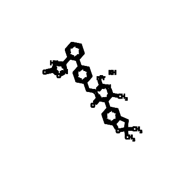 CCCc1nc(C)c(-c2ccc3c(c2)CC(C)(C)O3)c(=O)n1Cc1ccc(-c2ccccc2-c2noc(=O)[nH]2)cc1.[KH]